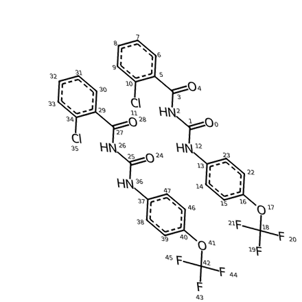 O=C(NC(=O)c1ccccc1Cl)Nc1ccc(OC(F)(F)F)cc1.O=C(NC(=O)c1ccccc1Cl)Nc1ccc(OC(F)(F)F)cc1